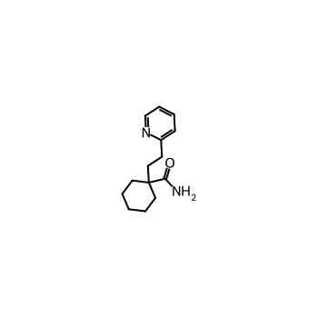 NC(=O)C1(CCc2ccccn2)CCCCC1